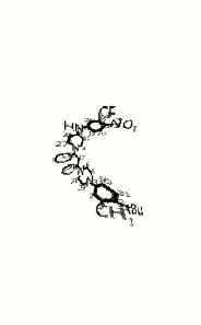 Cc1cc(N2CCN(C(=O)CC(=O)N3CCC(Nc4ccc([N+](=O)[O-])c(C(F)(F)F)c4)CC3)CC2)ccc1C(C)(C)C